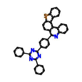 c1ccc(-c2nc(-c3ccccc3)nc(-c3ccc(-c4nc5ccccc5c5c4ccc4sc6ccccc6c45)cc3)n2)cc1